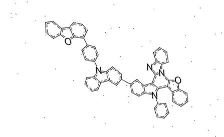 c1ccc(-n2c3ccc(-c4ccc5c(c4)c4ccccc4n5-c4ccc(-c5cccc6c5oc5ccccc56)cc4)cc3c3c2c2c4ccccc4oc2n2c4ccccc4nc32)cc1